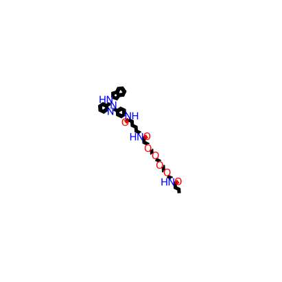 CCCC(=O)NCCOCCOCCOCCOCCC(=O)NCCCCCC(=O)Nc1ccc(-c2nc(NC3Cc4ccccc4C3)c3ccccc3n2)cc1